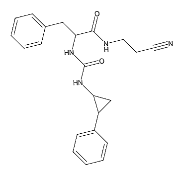 N#CCCNC(=O)C(Cc1ccccc1)NC(=O)NC1CC1c1ccccc1